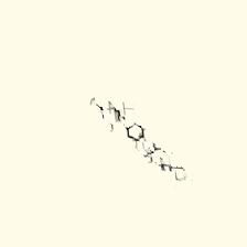 CC1CC(=O)NN=C1c1ccc2c(c1)CCC1(CCN(C3CCC3)CC1)O2